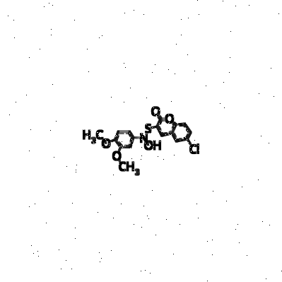 COc1ccc(N(O)Sc2cc3cc(Cl)ccc3oc2=O)cc1OC